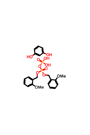 COc1ccccc1COP(=O)(OCc1ccccc1OC)OP(=O)(O)O.Oc1cccc(O)c1